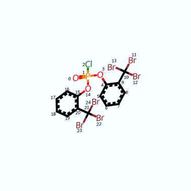 O=P(Cl)(Oc1ccccc1C(Br)(Br)Br)Oc1ccccc1C(Br)(Br)Br